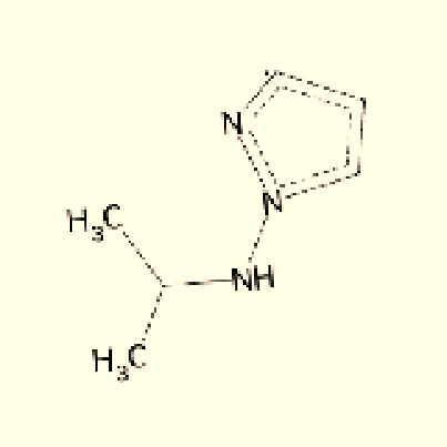 CC(C)Nn1cc[c]n1